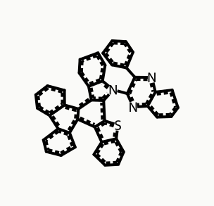 c1ccc(-c2nc3ccccc3nc2-n2c3ccccc3c3c4c5ccccc5c5ccccc5c4c4c5ccccc5sc4c32)cc1